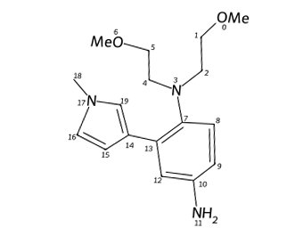 COCCN(CCOC)c1ccc(N)cc1-c1ccn(C)c1